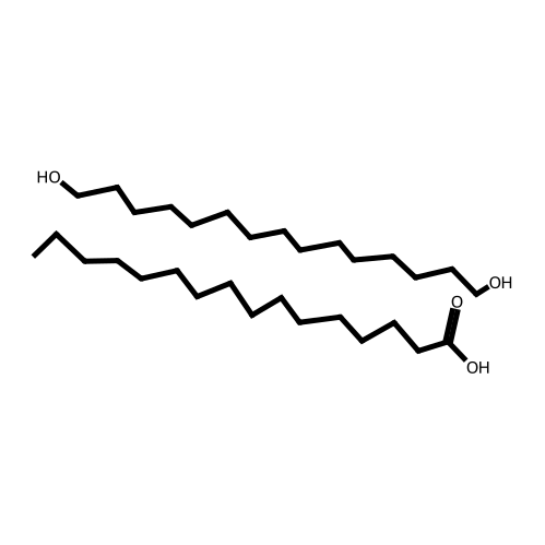 CCCCCCCCCCCCCCCC(=O)O.OCCCCCCCCCCCCCCCO